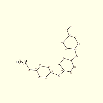 CCC1CCC(CC2CCC(CC3CCC(CPP)CC3)CC2)CC1